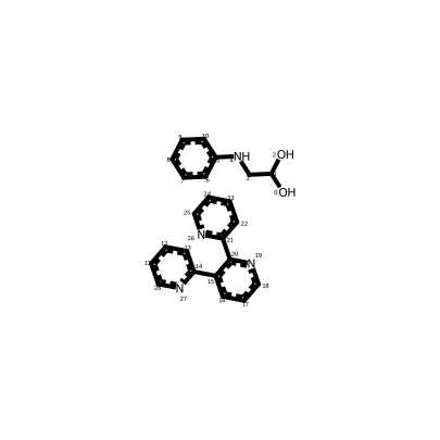 OC(O)CNc1ccccc1.c1ccc(-c2cccnc2-c2ccccn2)nc1